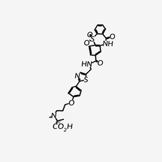 C[C@@H](C(=O)O)N(C)CCCOc1ccc(-c2ncc(CNC(=O)c3ccc4c(c3)NC(=O)c3ccccc3S4(=O)=O)s2)cc1